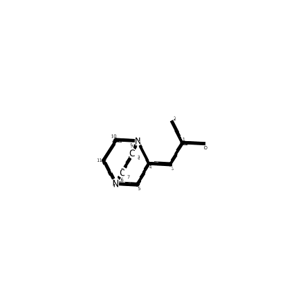 CC(C)CC1CN2CCN1CC2